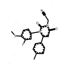 CSc1ccc(-n2c(-c3ccc(C)cc3)cc(=O)n(CC#N)c2=O)cc1F